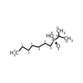 CCCCCCCP(=O)(O)C(C)C